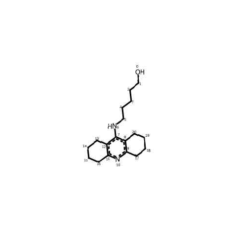 OCCCCCNc1c2c(nc3c1CCCC3)CCCC2